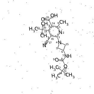 Cc1nc(N2CC(NC(=O)OC(C)(C)C)C2)c(C#N)c(C(C)(C)C)c1C(=O)O